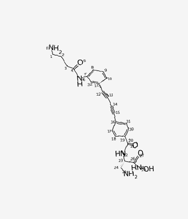 NCCCC(=O)Nc1cccc(C#CC#Cc2ccc(C(=O)N[C@@H](CN)C(=O)NO)cc2)c1